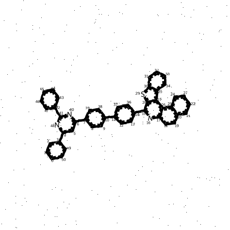 c1ccc(-c2cc(-c3ccc(-c4ccc(-c5nc6ccc7ccccc7c6c6c5sc5ccccc56)cc4)cc3)nc(-c3ccccc3)n2)cc1